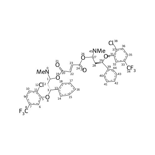 CNC(C[C@@H](Oc1cc(C(F)(F)F)ccc1Cl)c1ccccc1)OC(=O)/C=C/C(=O)OC(C[C@@H](Oc1cc(C(F)(F)F)ccc1Cl)c1ccccc1)NC